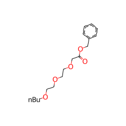 CCCCOCCOCCOCC(=O)OCc1ccccc1